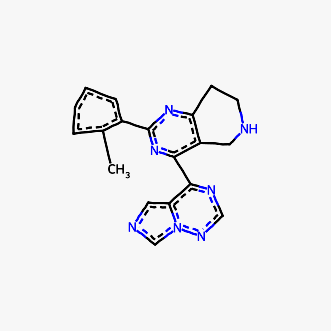 Cc1ccccc1-c1nc2c(c(-c3ncnn4cncc34)n1)CNCC2